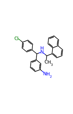 CC(NC(c1ccc(Cl)cc1)c1cccc(N)c1)c1cccc2ccccc12